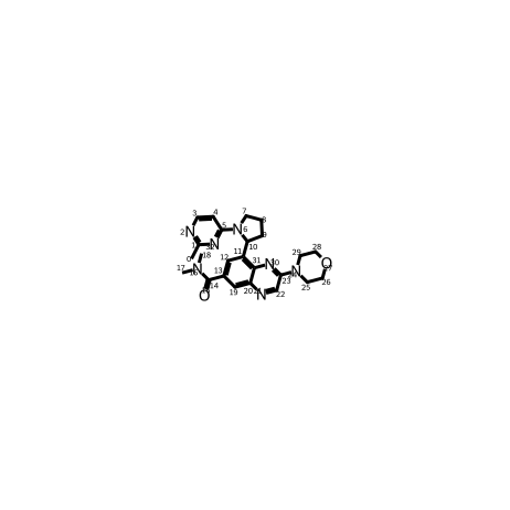 Cc1nccc(N2CCCC2c2cc(C(=O)N(C)C)cc3ncc(N4CCOCC4)nc23)n1